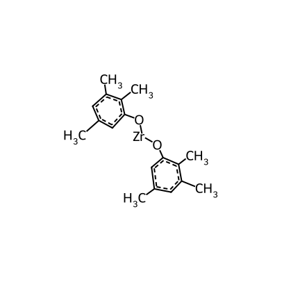 Cc1cc(C)c(C)c([O][Zr][O]c2cc(C)cc(C)c2C)c1